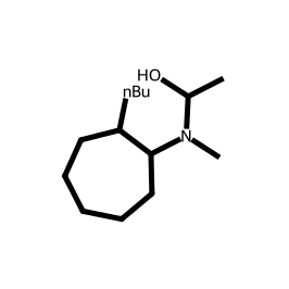 CCCCC1CCCCCC1N(C)C(C)O